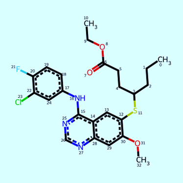 CCCC(CCC(=O)OCC)Sc1cc2c(Nc3ccc(F)c(Cl)c3)ncnc2cc1OC